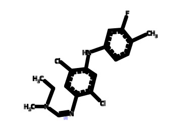 CCN(C)/C=N\c1cc(Cl)c(Nc2ccc(C)c(F)c2)cc1Cl